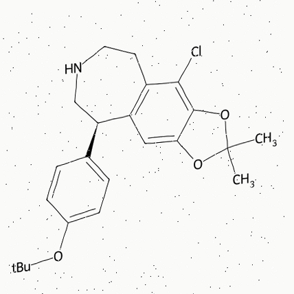 CC(C)(C)Oc1ccc([C@H]2CNCCc3c2cc2c(c3Cl)OC(C)(C)O2)cc1